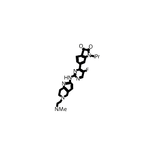 CNCCN1CCc2nc(Nc3ncc(F)c(-c4ccc5c(c4)N(C(C)C)C(=O)C5=O)n3)ccc2C1